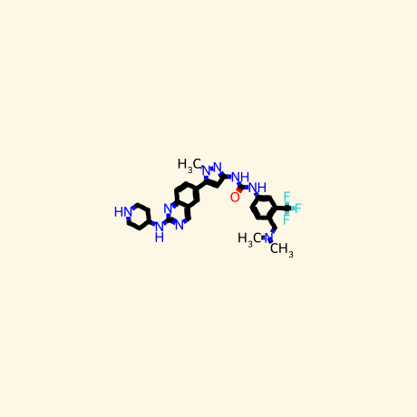 CN(C)Cc1ccc(NC(=O)Nc2cc(-c3ccc4nc(NC5CCNCC5)ncc4c3)n(C)n2)cc1C(F)(F)F